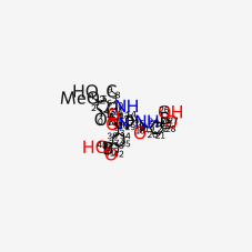 COc1cc(OC)cc([C@H](CC(=O)O)NC(=O)[C@@H]2C[C@@H](NC(=O)c3ccc4c(c3)B(O)OC4)CN2C(=O)c2ccc3c(c2)B(O)OC3)c1